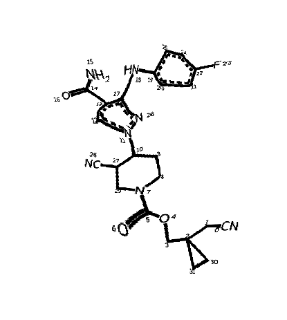 N#CCC1(COC(=O)N2CCC(n3cc(C(N)=O)c(Nc4ccc(F)cc4)n3)C(C#N)C2)CC1